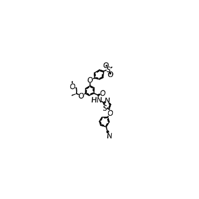 COC[C@H](C)Oc1cc(Oc2ccc(S(C)(=O)=O)cc2)cc(C(=O)Nc2ncc(Oc3cccc(C#N)c3)s2)c1